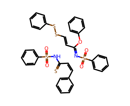 O=S(=O)(/N=C(/C=C/SSc1ccccc1)Oc1ccccc1)c1ccccc1.O=S(=O)(NC(=S)/C=C\c1ccccc1)c1ccccc1